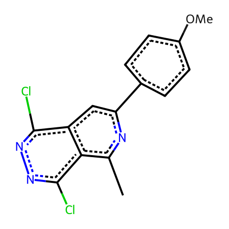 COc1ccc(-c2cc3c(Cl)nnc(Cl)c3c(C)n2)cc1